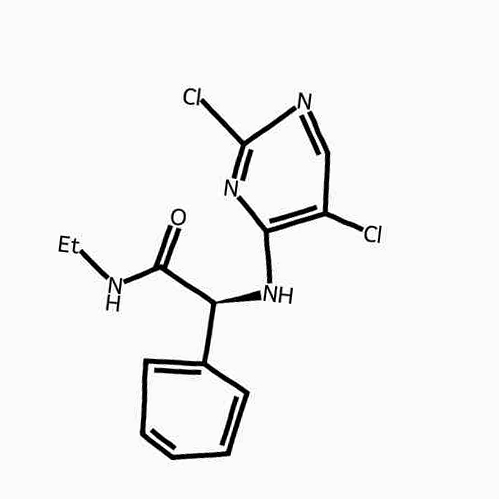 CCNC(=O)[C@@H](Nc1nc(Cl)ncc1Cl)c1ccccc1